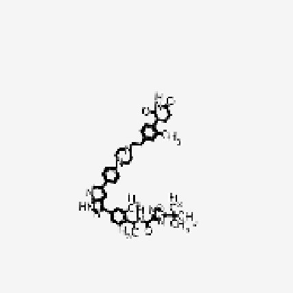 Cc1cc(CCN2CCN(c3ccc(-c4cnc5[nH]nc(-c6ccc([C@@H](C)NC(=O)c7noc(C(C)(C)C)n7)c(C)c6)c5c4)cc3)CC2)ccc1C1CCC(=O)NC1=O